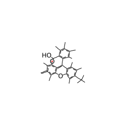 C=c1c(C)c(C)c2c(c1C)Oc1c(C)c(C(C)(C)C)c(C)c(C)c1C=2c1c(C)c(C)c(C)c(C)c1C(=O)O